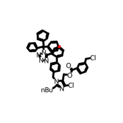 CCCCc1nc(Cl)c(COC(=O)c2cccc(CCl)c2)n1Cc1ccc(-c2ccccc2-c2nnnn2C(c2ccccc2)(c2ccccc2)c2ccccc2)cc1